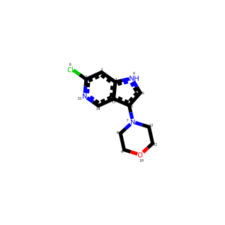 Clc1cc2[nH]cc(N3CCOCC3)c2cn1